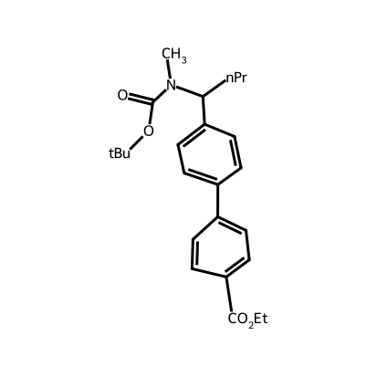 CCCC(c1ccc(-c2ccc(C(=O)OCC)cc2)cc1)N(C)C(=O)OC(C)(C)C